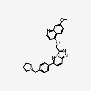 COc1ccc2c(OCc3nnc4ccc(-c5ccc(CN6CCCC6)cc5)nn34)ccnc2c1